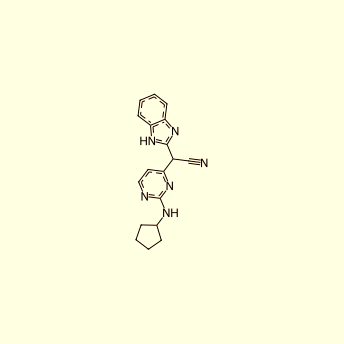 N#CC(c1ccnc(NC2CCCC2)n1)c1nc2ccccc2[nH]1